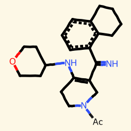 CC(=O)N1CCC(NC2CCOCC2)=C(C(=N)c2cccc3c2CCCC3)C1